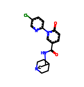 O=C(NC1CN2CCC1CC2)c1ccc(=O)n(-c2ccc(Cl)cn2)c1